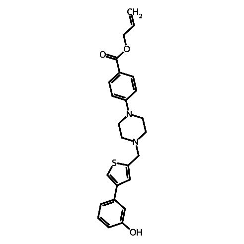 C=CCOC(=O)c1ccc(N2CCN(Cc3cc(-c4cccc(O)c4)cs3)CC2)cc1